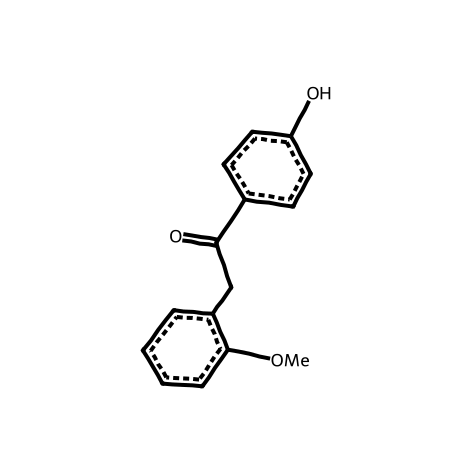 COc1ccccc1CC(=O)c1ccc(O)cc1